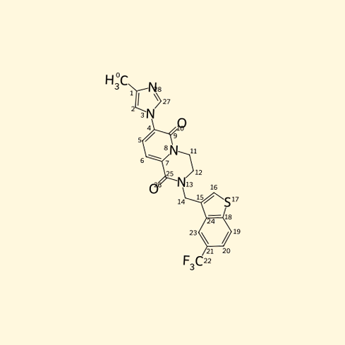 Cc1cn(-c2ccc3n(c2=O)CCN(Cc2csc4ccc(C(F)(F)F)cc24)C3=O)cn1